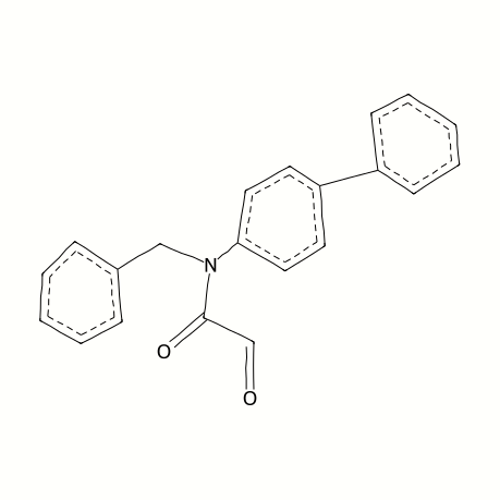 O=CC(=O)N(Cc1ccccc1)c1ccc(-c2ccccc2)cc1